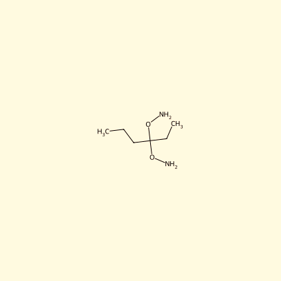 CCCC(CC)(ON)ON